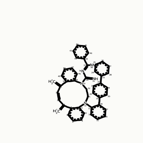 C=C1/C=C\C(=C)c2ccccc2N(c2ccccc2-c2ccc(-c3ccccc3)cc2)CCN(C(=N)/N=C(\NC)c2ccccc2)c2ccccc21